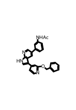 CC(=O)Nc1cccc(-c2cnc3[nH]cc(-c4ccnc(OCc5ccccc5)c4)c3c2)c1